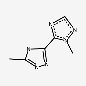 CC1=NN=C(c2ncnn2C)[N]1